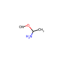 CC(N)ON=O